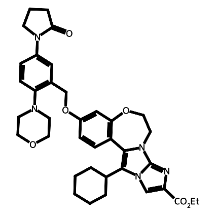 CCOC(=O)c1cn2c(C3CCCCC3)c3n(c2n1)CCOc1cc(OCc2cc(N4CCCC4=O)ccc2N2CCOCC2)ccc1-3